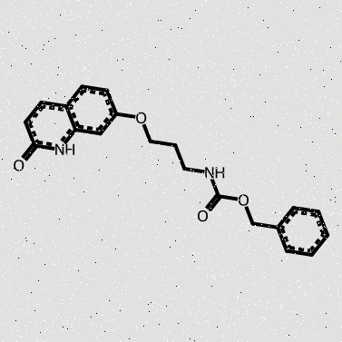 O=C(NCCCOc1ccc2ccc(=O)[nH]c2c1)OCc1ccccc1